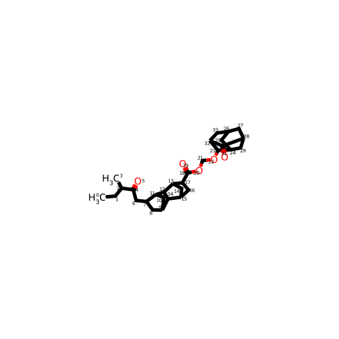 CCC(C)C(=O)CC1CC2CC1C1C3CC(CC3C(=O)OCOC3C4CC5CC(C4)C(=O)C3C5)C21